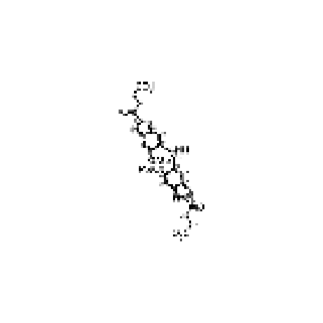 COc1cc2nc(C(=O)CCC(=O)O)sc2cc1C1NC1c1cc2sc(C(=O)CCC(=O)O)nc2cc1OC